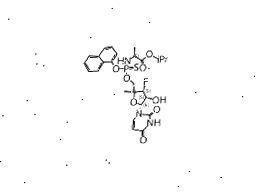 CC(C)OC(=O)[C@H](C)NP(=S)(OC[C@@]1(C)O[C@@H](n2ccc(=O)[nH]c2=O)[C@H](O)[C@@H]1F)Oc1cccc2ccccc12